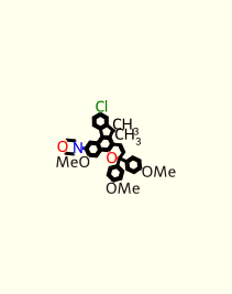 COc1ccc(C2(c3ccc(OC)cc3)C=Cc3c4c(c5cc(N6CCOCC6)c(OC)cc5c3O2)-c2ccc(Cl)cc2C4(C)C)cc1